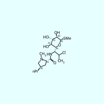 CCC[C@@H]1C[C@@H](C(=O)NC(C(C)Cl)[C@H]2O[C@H](SC)[C@H](O)[C@@H](O)[C@@H]2O)N(C)C1